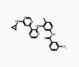 Cc1ccc(NC(=O)c2cccc(C(F)(F)F)c2)cc1Nc1ncccc1-c1cc(NC2CC2)ncn1